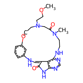 COCCN1CCOc2cccc(c2)N/C=C2\C(=O)Nc3ncnc(c32)NCCN(C)C(=O)C1